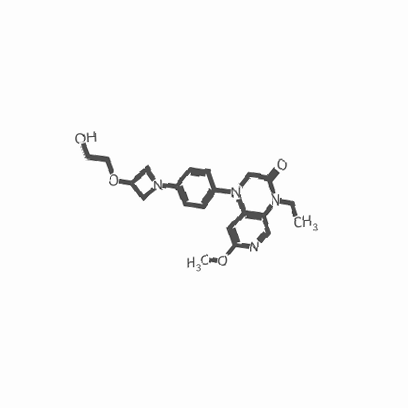 CCN1C(=O)CN(c2ccc(N3CC(OCCO)C3)cc2)c2cc(OC)ncc21